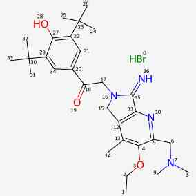 Br.CCOc1c(CN(C)C)nc2c(c1C)CN(CC(=O)c1cc(C(C)(C)C)c(O)c(C(C)(C)C)c1)C2=N